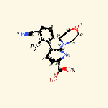 Cc1c(C#N)cccc1-c1ccc(C(=O)O)nc1N1CCOCC1